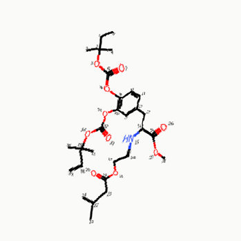 CCC(C)(C)OC(=O)Oc1ccc(C[C@H](NCCOC(=O)CC(C)C)C(=O)OC)cc1OC(=O)OC(C)(C)CC